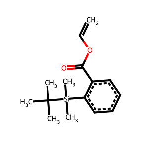 C=COC(=O)c1ccccc1[Si](C)(C)C(C)(C)C